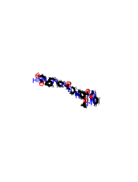 O=C1CCN(c2cccc3c2ccn3C2CCN(C(=O)CN3CCC(n4cc5cc(C(=O)Nc6cnc7cccnn67)c(OC6CC6)cc5n4)CC3)CC2)C(=O)N1